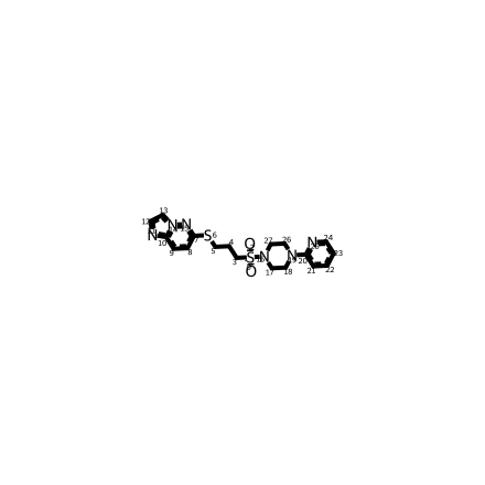 O=S(=O)(CCCSc1ccc2nccn2n1)N1CCN(c2ccccn2)CC1